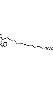 CCCCCCCCCCCCCCCCCCCC(CC)N=O